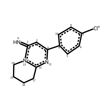 N=c1cc(-c2ccc(Cl)cc2)nc2n1CCCC2